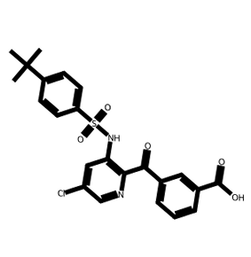 CC(C)(C)c1ccc(S(=O)(=O)Nc2cc(Cl)cnc2C(=O)c2cccc(C(=O)O)c2)cc1